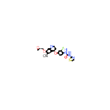 [C-]#[N+]c1cc2c(Oc3ccc(NC(=O)Nc4nccs4)c(F)c3)ccnc2cc1OC[C@H]1CO1